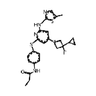 CCC(=O)Nc1ccc(Sc2cc(N3CC(F)(C4CC4)C3)cc(Nc3ncc(C)s3)n2)cc1